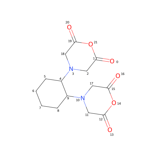 O=C1CN(C2CCCCC2N2CC(=O)OC(=O)C2)CC(=O)O1